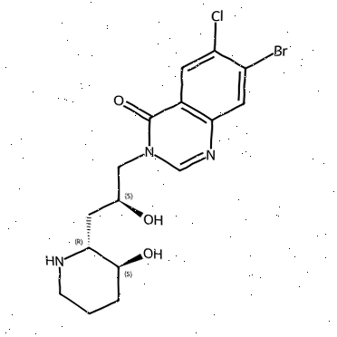 O=c1c2cc(Cl)c(Br)cc2ncn1C[C@@H](O)C[C@H]1NCCC[C@@H]1O